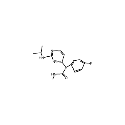 CNC(=O)N(c1ccc(F)cc1)c1ccnc(NC(C)C)n1